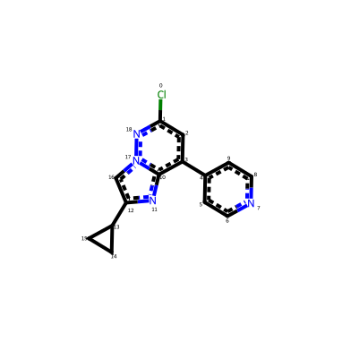 Clc1cc(-c2ccncc2)c2nc(C3CC3)cn2n1